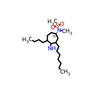 CCCCCCCC1C[C@@H](N(C)S(C)(=O)=O)CCC(CCCC)C1N